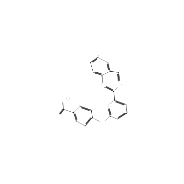 COC(=O)c1ccc(Oc2cccc(-c3ncc4ccccc4n3)n2)cc1